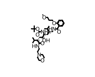 COCCCOc1ccccc1C(=O)NC[C@@H](C[C@H](NC(=O)OC(C)(C)C)[C@@H](O)C[C@H](C(=O)NCCN1CCOCC1)C(C)C)C(C)C